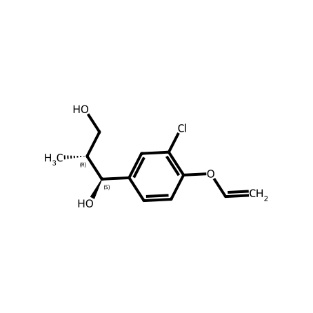 C=COc1ccc([C@@H](O)[C@H](C)CO)cc1Cl